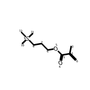 C=C(C)C(=O)OCCCS(C)(C)C